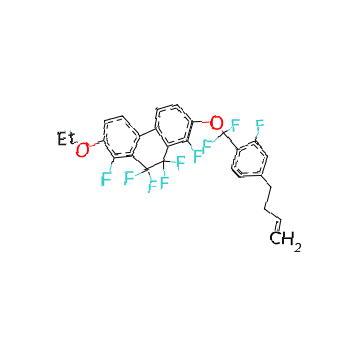 C=CCCc1ccc(C(F)(F)Oc2ccc3c(c2F)C(F)(F)C(F)(F)c2c-3ccc(OCC)c2F)c(F)c1